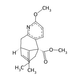 C/C=C1\[C@H]2C=C(C)C[C@]1(C(=O)OC)c1ccc(OC)nc1C2